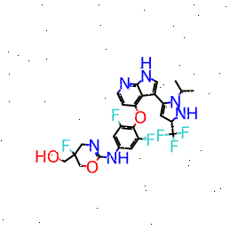 CC(C)N1NC(C(F)(F)F)C=C1c1c[nH]c2nccc(Oc3c(F)cc(NC4=NCC(F)(CO)CO4)cc3F)c12